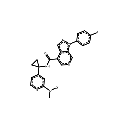 C[S+]([O-])c1cc(C2(NC(=O)c3cncc4c3cnn4-c3ccc(F)cc3)CC2)ccn1